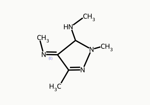 C/N=C1/C(C)=NN(C)C1NC